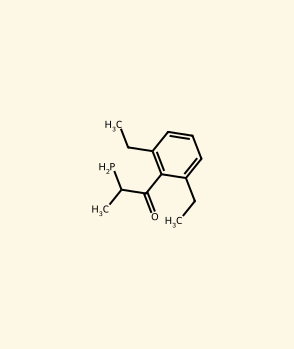 CCc1cccc(CC)c1C(=O)C(C)P